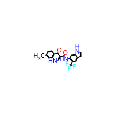 Cc1ccc2c(=O)c(C(=O)Nc3cc4[nH]ccc4cc3C(F)(F)F)c[nH]c2c1